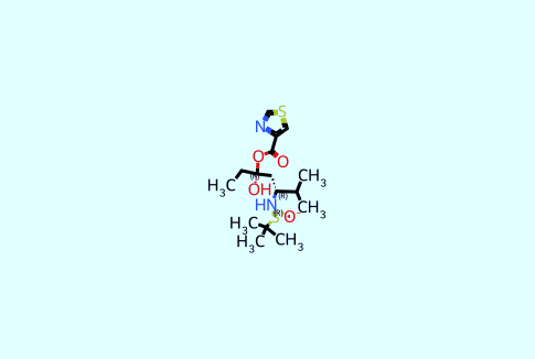 CC[C@](O)(C[C@@H](N[S@@+]([O-])C(C)(C)C)C(C)C)OC(=O)c1cscn1